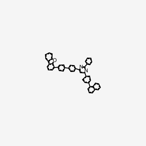 c1ccc(-c2nc(-c3ccc(-c4ccc(-c5cccc6c5oc5ccccc56)cc4)cc3)cc(-c3ccc(-c4cccc5ccccc45)cc3)n2)cc1